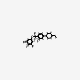 CCC1CCC(c2ccc(C(F)(F)Oc3cc(F)c(F)c(F)c3)c(F)c2)CC1